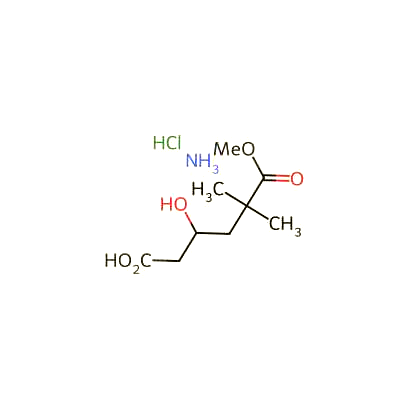 COC(=O)C(C)(C)CC(O)CC(=O)O.Cl.N